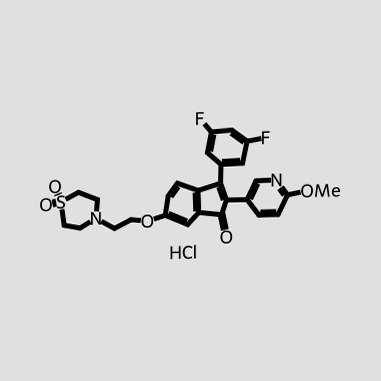 COc1ccc(C2=C(c3cc(F)cc(F)c3)c3ccc(OCCN4CCS(=O)(=O)CC4)cc3C2=O)cn1.Cl